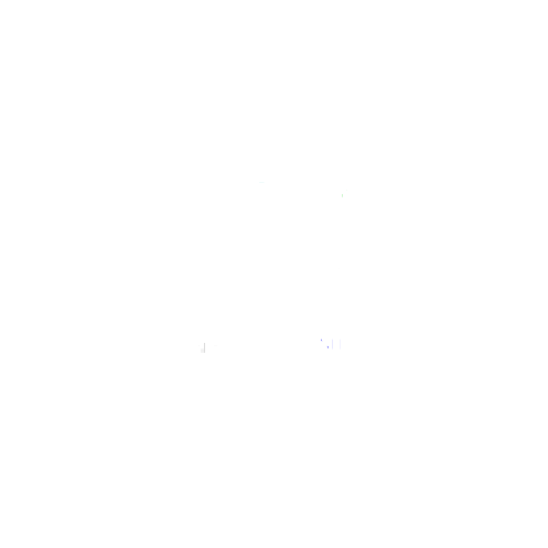 CCCc1c[nH]c2cc(Cl)c(F)cc12